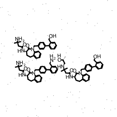 CC(C)(N)CC(=O)N[C@@H]1CCc2ccccc2N(Cc2ccc(-c3ccccc3CN)cc2)C1=O.CC(C)(N)CC(=O)N[C@@H]1CCc2ccccc2N(Cc2ccc(-c3ccccc3CO)cc2)C1=O.C[C@@H](O)CNC(C)(C)CC(=O)N[C@@H]1CCc2ccccc2N(Cc2ccc(-c3ccccc3CO)cc2)C1=O